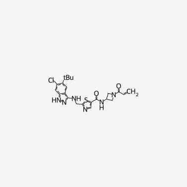 C=CC(=O)N1CC(NC(=O)c2cnc(CNc3n[nH]c4cc(Cl)c(C(C)(C)C)cc34)s2)C1